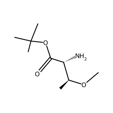 CO[C@@H](C)[C@@H](N)C(=O)OC(C)(C)C